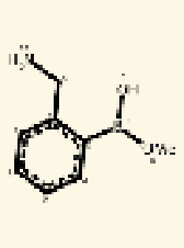 COB(O)c1ccccc1CN